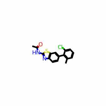 CC(=O)Nc1nc2ccc(-c3c(C)cccc3Cl)cc2s1